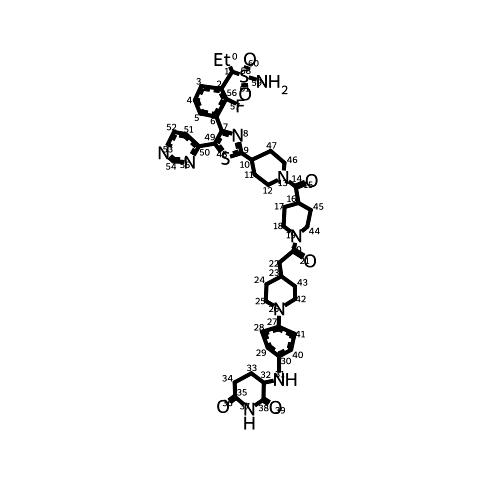 CCC(c1cccc(-c2nc(C3CCN(C(=O)C4CCN(C(=O)CC5CCN(c6ccc(NC7CCC(=O)NC7=O)cc6)CC5)CC4)CC3)sc2-c2ccncn2)c1F)S(N)(=O)=O